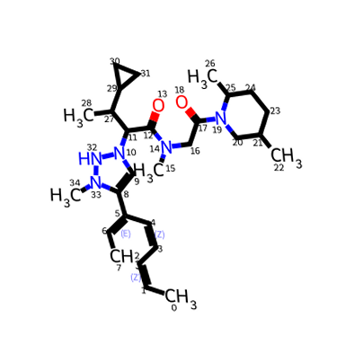 C\C=C/C=C\C(=C/C)C1=CN(C(C(=O)N(C)CC(=O)N2CC(C)CCC2C)C(C)C2CC2)NN1C